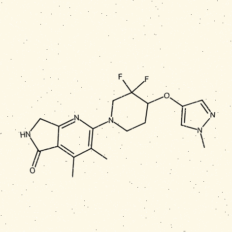 Cc1c(N2CCC(Oc3cnn(C)c3)C(F)(F)C2)nc2c(c1C)C(=O)NC2